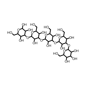 OCC1OC(OC2C(O)C(CO)OC(OC3C(O)C(CO)OC(OC4C(O)C(CO)OC(OC5C(O)C(O)OC(CO)C5O)C4O)C3O)C2O)C(O)C(O)C1O